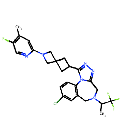 Cc1cc(N2CC3(CC(c4nnc5n4-c4ccc(Cl)cc4CN(C(C)C(F)(F)F)C5)C3)C2)ncc1F